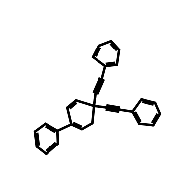 C(#CC1(C#Cc2ccccc2)C=CC(c2ccccc2)=CC1)c1ccccc1